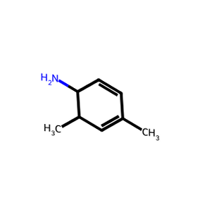 CC1=CC(C)C(N)C=C1